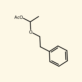 CC(=O)OC(C)OCCc1ccccc1